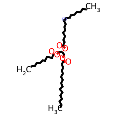 C=CCCCCCCCC(=O)OCC(COC(=O)CCCCCCCCCCCCCCC)OC(=O)CCCCCCC/C=C\CCCCCCCC